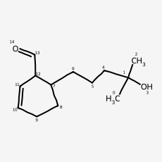 CC(C)(O)CCCC1CCC=CC1C=O